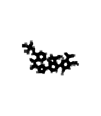 CC(=O)c1cc(-c2ncc(-c3cnn(C(=O)N(C)c4ncccc4COP(=O)(O)O)c3)c3onc(N)c23)c(F)cc1N